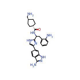 NC[C@H]1CC[C@H](C(=O)NC(Cc2ccccc2N)c2nc(-c3ccc4c(N)n[nH]c4c3)c[nH]2)CC1